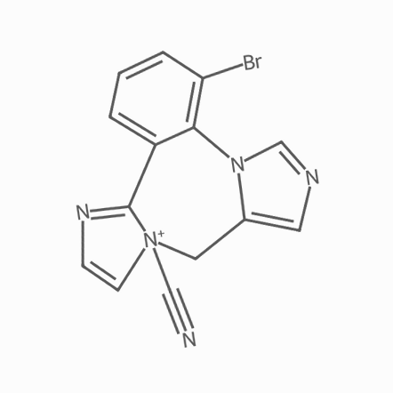 N#C[N+]12C=CN=C1c1cccc(Br)c1-n1cncc1C2